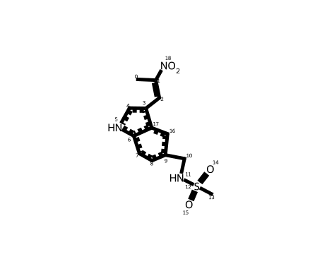 CC(=Cc1c[nH]c2ccc(CNS(C)(=O)=O)cc12)[N+](=O)[O-]